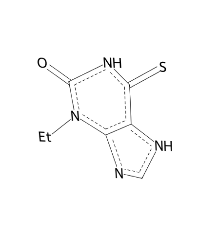 CCn1c(=O)[nH]c(=S)c2[nH]cnc21